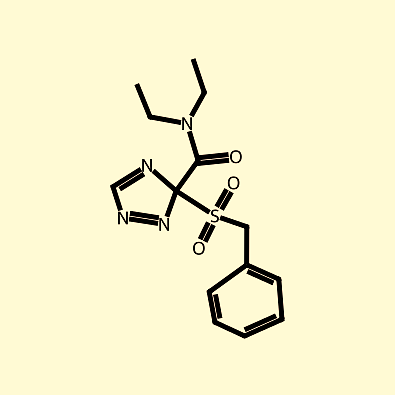 CCN(CC)C(=O)C1(S(=O)(=O)Cc2ccccc2)N=CN=N1